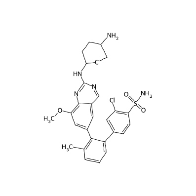 COc1cc(-c2c(C)cccc2-c2ccc(S(N)(=O)=O)c(Cl)c2)cc2cnc(NC3CCC(N)CC3)nc12